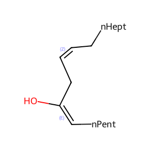 CCCCC/C=C(/O)C/C=C\CCCCCCCC